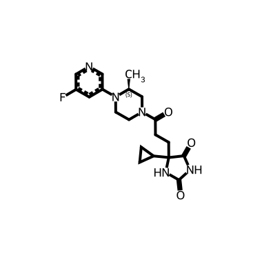 C[C@H]1CN(C(=O)CCC2(C3CC3)NC(=O)NC2=O)CCN1c1cncc(F)c1